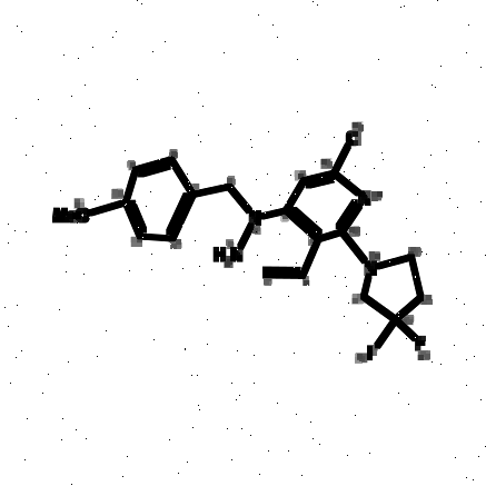 C=Cc1c(N(N)Cc2ccc(OC)cc2)cc(Cl)nc1N1CCC(F)(F)C1